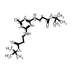 CC(C)(C)OC(=O)CCNc1nc(Cl)nc(NCCC(=O)OC(C)(C)C)n1